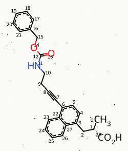 C[C@@H](Cc1ccc(C#CCCNC(=O)OCc2ccccc2)c2ccccc12)C(=O)O